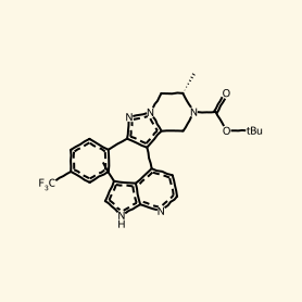 Cc1c[nH]c2nccc(-c3c(-c4ccc(C(F)(F)F)cc4)nn4c3CN(C(=O)OC(C)(C)C)[C@@H](C)C4)c12